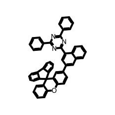 c1ccc(-c2nc(-c3ccccc3)nc(-c3cc(-c4ccc5c(c4)C4(c6ccccc6O5)c5ccccc5-c5ccccc54)cc4ccccc34)n2)cc1